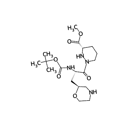 COC(=O)[C@@H]1CCCN(C(=O)[C@H](C[C@H]2CNCCO2)NC(=O)OC(C)(C)C)N1